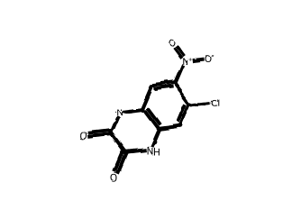 O=C1[N]c2cc([N+](=O)[O-])c(Cl)cc2NC1=O